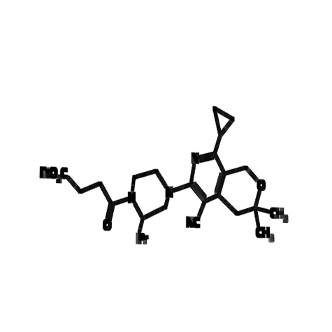 CCOC(=O)CCC(=O)N1CCN(c2nc(C3CC3)c3c(c2C#N)CC(C)(C)OC3)CC1C(C)C